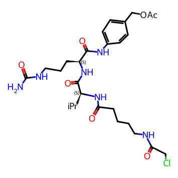 CC(=O)OCc1ccc(NC(=O)[C@H](CCCNC(N)=O)NC(=O)[C@@H](NC(=O)CCCCNC(=O)CCl)C(C)C)cc1